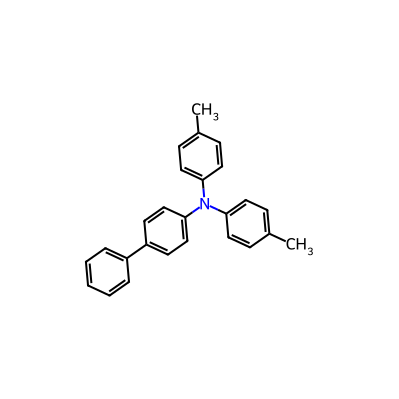 Cc1ccc(N(c2ccc(C)cc2)c2ccc(-c3ccccc3)cc2)cc1